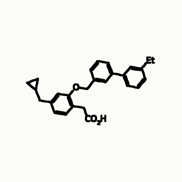 CCc1cccc(-c2cccc(COc3cc(CC4CC4)ccc3CC(=O)O)c2)c1